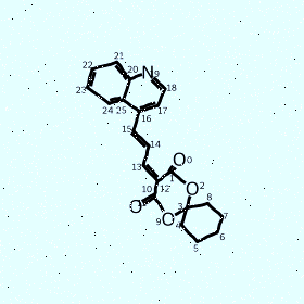 O=C1OC2(CCCCC2)OC(=O)C1=CC=Cc1ccnc2ccccc12